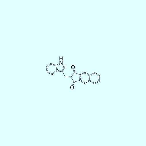 O=C1C(=Cc2c[nH]c3ccccc23)C(=O)c2cc3ccccc3cc21